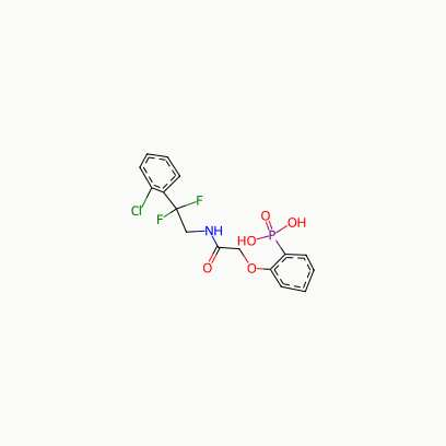 O=C(COc1ccccc1P(=O)(O)O)NCC(F)(F)c1ccccc1Cl